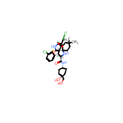 CC1(C)CCC2(CC1)N[C@@H](C(=O)N[C@H]1CC[C@@](O)(CO)CC1)[C@H](c1cccc(Cl)c1F)[C@]21C(=O)Nc2cc(Cl)ccc21